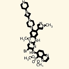 COc1cc(N2CCN(C3CN(C4CCNCC4)C3)CC2)c(-c2cnn(C)c2)cc1Nc1ncc(Br)c(Nc2ccc3nccnc3c2P(=O)(OC)OC)n1